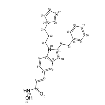 O=C(/C=C/c1ccc2c(c1)nc(CCc1ccccc1)n2CCCn1ccnc1)NO